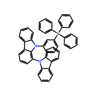 c1ccc([Si](c2ccccc2)(c2ccccc2)c2cccc(-n3c4ccccc4c4cccc(-n5c6ccccc6c6ccccc65)c43)c2)cc1